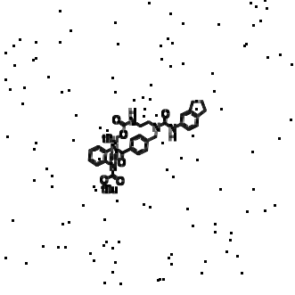 CC(C)(C)OC(=O)NCCN(Cc1ccc(C(=O)Nc2ccccc2NC(=O)OC(C)(C)C)cc1)C(=O)Nc1ccc2c(c1)CCC2